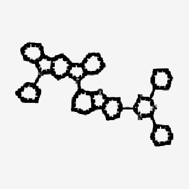 c1ccc(-c2nc(-c3ccccc3)nc(-c3ccc4c(c3)oc3c(-n5c6ccccc6c6cc7c8ccccc8n(-c8ccccc8)c7cc65)cccc34)n2)cc1